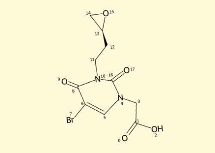 O=C(O)Cn1cc(Br)c(=O)n(CC[C@H]2CO2)c1=O